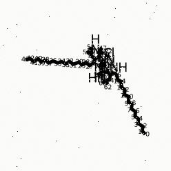 CCCCCCCCCCCCCCCCCC(Nc1nc(Cl)nc(NC(CCCCCCCCCCCCCCCCC)C2CC(C)(C)NC(C)(C)C2)n1)C1CC(C)(C)NC(C)(C)C1